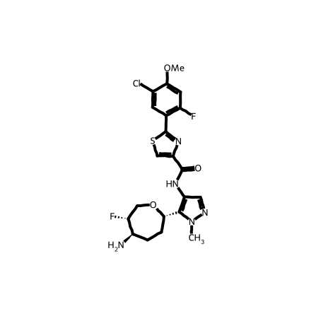 COc1cc(F)c(-c2nc(C(=O)Nc3cnn(C)c3[C@@H]3CC[C@@H](N)[C@H](F)CO3)cs2)cc1Cl